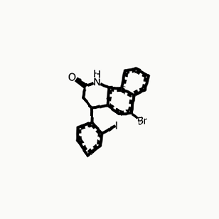 O=C1CC(c2ccccc2I)c2cc(Br)c3ccccc3c2N1